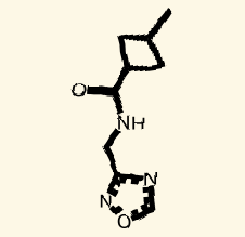 CC1CC(C(=O)NCc2ncon2)C1